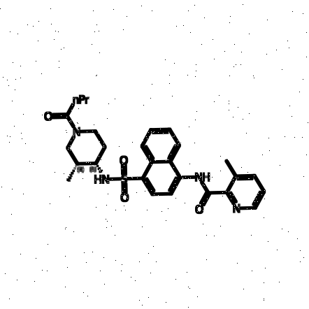 CCCC(=O)N1CC[C@H](NS(=O)(=O)c2ccc(NC(=O)c3ncccc3C)c3ccccc23)[C@H](C)C1